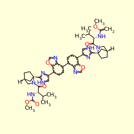 C=C(N[C@H](C(=O)N1C[C@@H]2CC[C@@]1(c1nc(-c3ccc(-c4ccc(-c5c[nH]c([C@@]67CC[C@@H](CN6C(=O)[C@@H](NC(=O)OC)C(C)C)C7)n5)c5ocnc45)c4ncoc34)c[nH]1)C2)C(C)C)OC